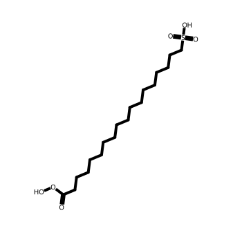 O=C(CCCCCCCCCCCCCCCCCS(=O)(=O)O)OO